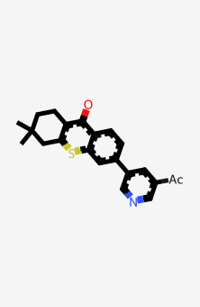 CC(=O)c1cncc(-c2ccc3c(=O)c4c(sc3c2)CC(C)(C)CC4)c1